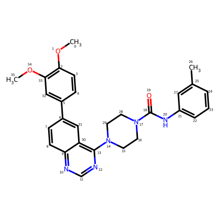 COc1ccc(-c2ccc3ncnc(N4CCN(C(=O)Nc5cccc(C)c5)CC4)c3c2)cc1OC